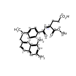 CN(Cc1cnc2nc(N)nc(N)c2n1)c1ccc(C(=O)/N=C(/CCC(=O)O)C(=O)OC(C)(C)C)cc1